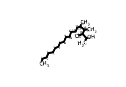 CCCCCCCCCCCCCCC(C)[C](C)C(Cl)C(C)O